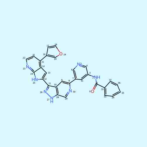 O=C(Nc1cncc(-c2cc3c(-c4cc5c(-c6ccoc6)ccnc5[nH]4)n[nH]c3cn2)c1)c1ccccc1